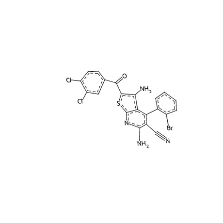 N#Cc1c(N)nc2sc(C(=O)c3ccc(Cl)c(Cl)c3)c(N)c2c1-c1ccccc1Br